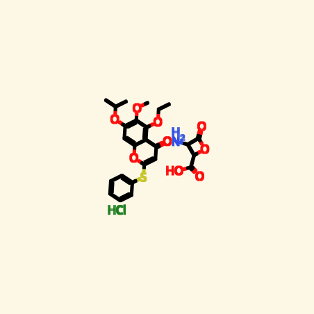 CCOc1c(OC)c(OC(C)C)cc2oc(Sc3ccccc3)cc(=O)c12.Cl.NC1C(=O)OC1C(=O)O